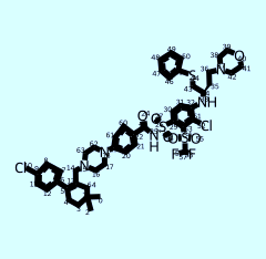 CC1(C)CCC(c2ccc(Cl)cc2)=C(CN2CCN(c3ccc(C(=O)NS(=O)(=O)c4ccc(N[C@H](CCN5CCOCC5)CSc5ccccc5)c(Cl)c4S(=O)(=O)C(F)F)cc3)CC2)C1